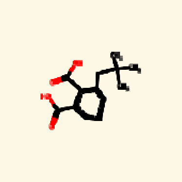 CC(C)(C)Cc1cccc(C(=O)O)c1C(=O)O